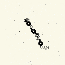 CCC(C)(C)c1ccc(OCc2ccc(-c3csc(N(C)Cc4ccc(C(=O)O)cc4)n3)cc2)cc1